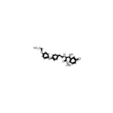 CC(C)(C)OC(=O)C(NCCc1ccc(Oc2ccc(OCC(=O)O)cc2)cc1)[C@H](O)c1cccc(Cl)c1